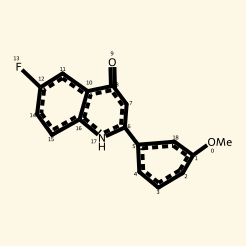 COc1cccc(-c2cc(=O)c3cc(F)ccc3[nH]2)c1